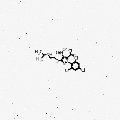 CC(C)NCCOc1nn(-c2c(Cl)cc(Cl)cc2Cl)c(C(Cl)Cl)c1[N+](=O)[O-]